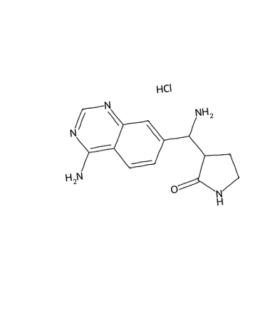 Cl.Nc1ncnc2cc(C(N)C3CCNC3=O)ccc12